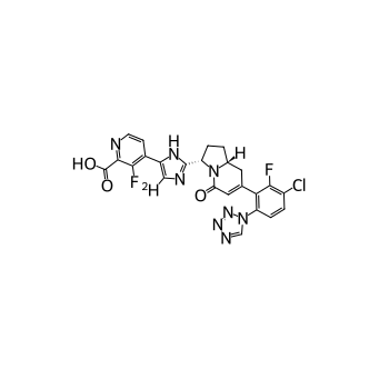 [2H]c1nc([C@@H]2CC[C@@H]3CC(c4c(-n5cnnn5)ccc(Cl)c4F)=CC(=O)N32)[nH]c1-c1ccnc(C(=O)O)c1F